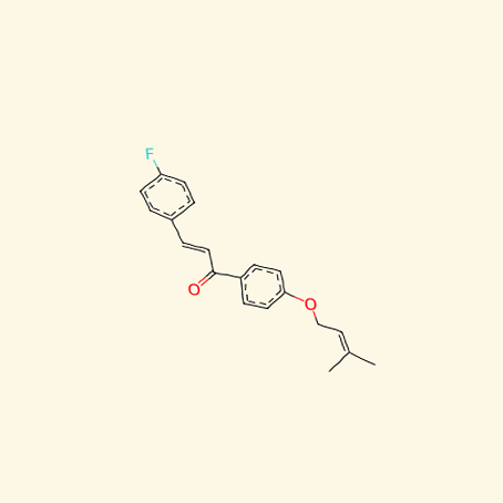 CC(C)=CCOc1ccc(C(=O)C=Cc2ccc(F)cc2)cc1